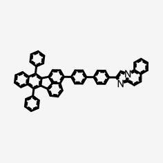 c1ccc(-c2c3c(c(-c4ccccc4)c4ccccc24)-c2ccc(-c4ccc(-c5ccc(-c6cn7c(ccc8ccccc87)n6)cc5)cc4)c4cccc-3c24)cc1